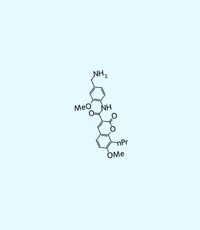 CCCc1c(OC)ccc2cc(C(=O)Nc3ccc(CN)cc3OC)c(=O)oc12